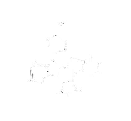 O=N[C@@H]1CC[C@H](n2c3ccccc3c3c4c(c5c6ccccc6[nH]c5c32)C(=O)NC4=O)OC1